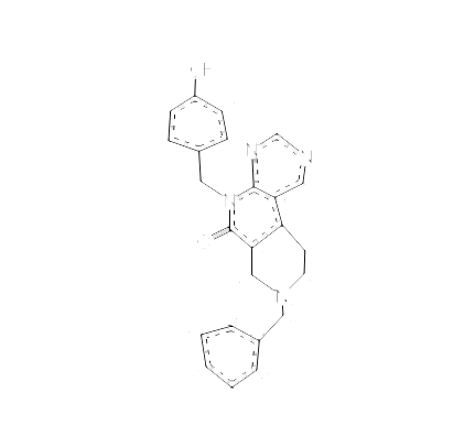 O=c1c2c(c3cncnc3n1Cc1ccc(C(F)(F)F)cc1)CCN(Cc1ccccc1)C2